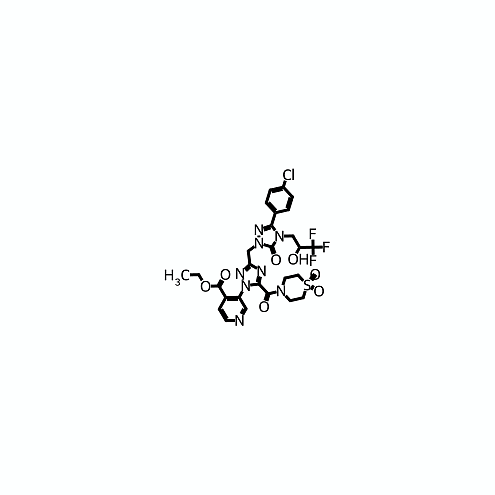 CCOC(=O)c1ccncc1-n1nc(Cn2nc(-c3ccc(Cl)cc3)n(CC(O)C(F)(F)F)c2=O)nc1C(=O)N1CCS(=O)(=O)CC1